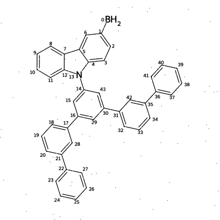 Bc1ccc2c(c1)c1ccccc1n2-c1cc(-c2cccc(-c3ccccc3)c2)cc(-c2cccc(-c3ccccc3)c2)c1